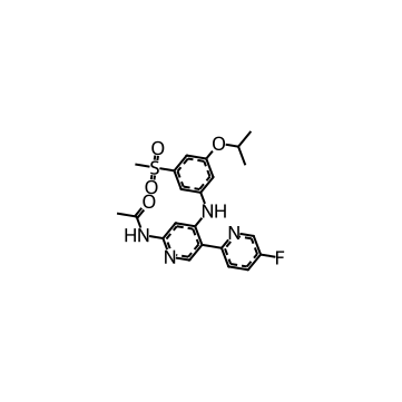 CC(=O)Nc1cc(Nc2cc(OC(C)C)cc(S(C)(=O)=O)c2)c(-c2ccc(F)cn2)cn1